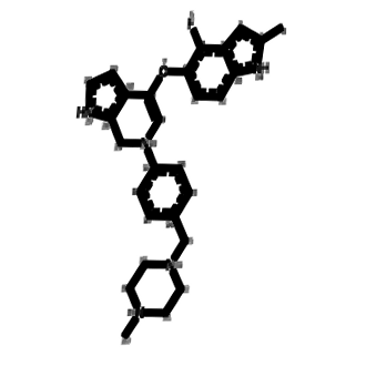 Cc1cc2c(F)c(OC3=CN(c4ccc(CN5CCN(C)CC5)cc4)Cc4[nH]ccc43)ccc2[nH]1